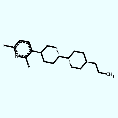 CCC[C@H]1CC[C@H]([C@H]2CC[C@H](c3ccc(F)nc3F)CC2)CC1